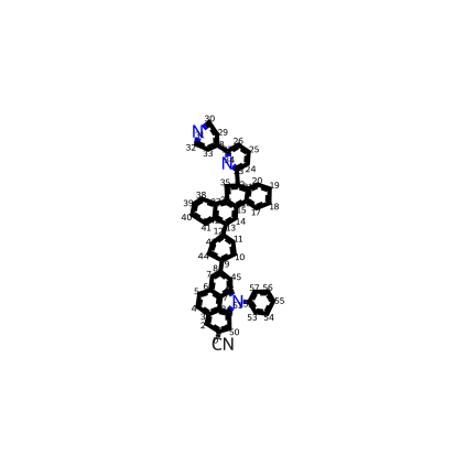 N#Cc1cc2ccc3cc(-c4ccc(-c5cc6c7ccccc7c(-c7cccc(-c8ccncc8)n7)cc6c6ccccc56)cc4)cc4c3c2c(c1)n4-c1ccccc1